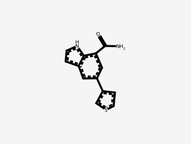 NC(=O)c1cc(-c2ccsc2)cc2cc[nH]c12